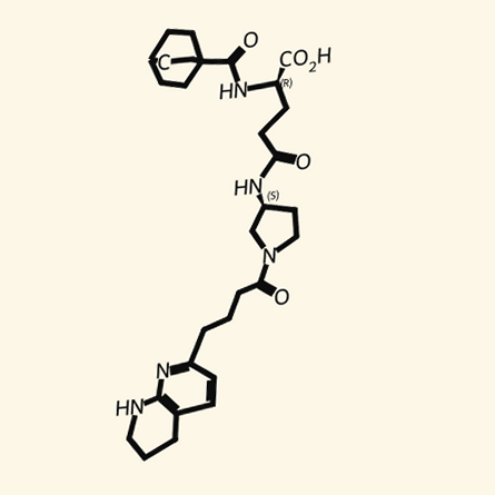 O=C(CC[C@@H](NC(=O)C12CCC(CC1)CC2)C(=O)O)N[C@H]1CCN(C(=O)CCCc2ccc3c(n2)NCCC3)C1